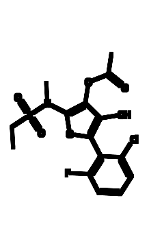 CCS(=O)(=O)N(C)c1oc(-c2c(F)cccc2Cl)c(O)c1OC(C)=O